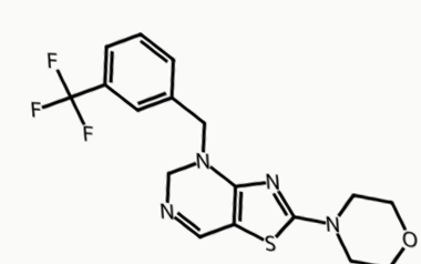 FC(F)(F)c1cccc(CN2CN=Cc3sc(N4CCOCC4)nc32)c1